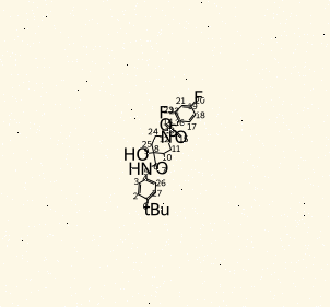 CC(C)(C)c1ccc(NC(=O)C2(O)CCN(S(=O)(=O)c3ccc(F)cc3F)CC2)cc1